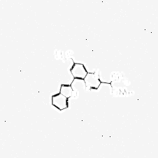 COC(C)c1cnc2c(-c3cc4ccccc4o3)cc(C)cc2n1